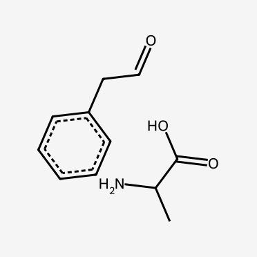 CC(N)C(=O)O.O=CCc1ccccc1